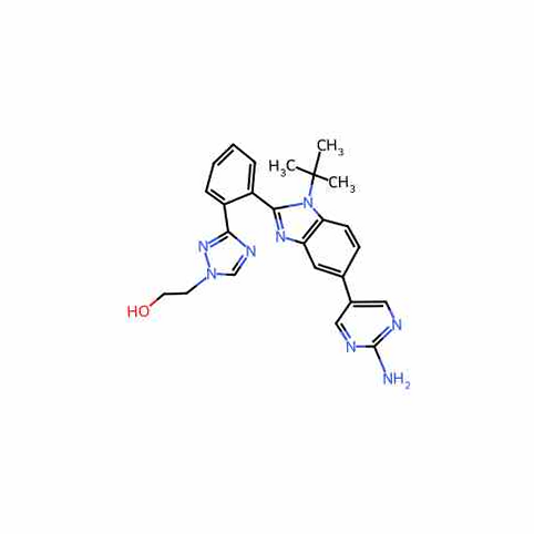 CC(C)(C)n1c(-c2ccccc2-c2ncn(CCO)n2)nc2cc(-c3cnc(N)nc3)ccc21